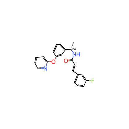 C[C@H](NC(=O)C=Cc1cccc(F)c1)c1cccc(Oc2ccccn2)c1